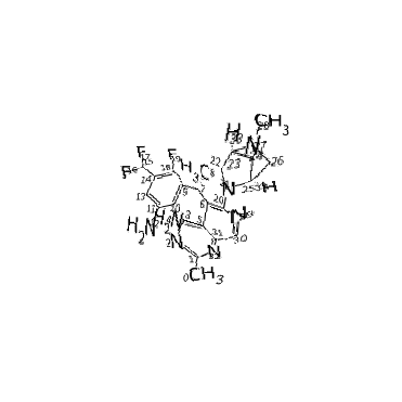 Cc1nc(N)c2c([C@@H](C)c3cc(N)cc(C(F)F)c3F)c(N3C[C@@H]4C[C@H]3CN4C)ncc2n1